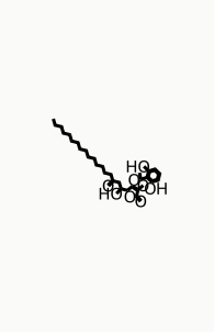 CCCCCCCCCCCCCCCC(=O)CC(O)C1OC(=O)C2=C1OC(C)(c1c(O)cccc1O)O2